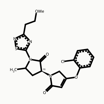 COCCc1nsc(N2C(=O)[C@@H](N3CC(Oc4ccccc4Cl)=CC3=O)CC2C)n1